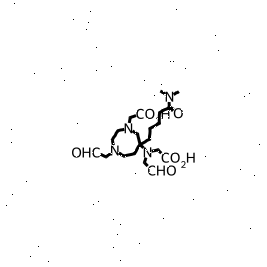 CN(C)C(=O)CCCCC1(N(CC=O)CC(=O)O)CCN(CC=O)CCN(CC(=O)O)C1